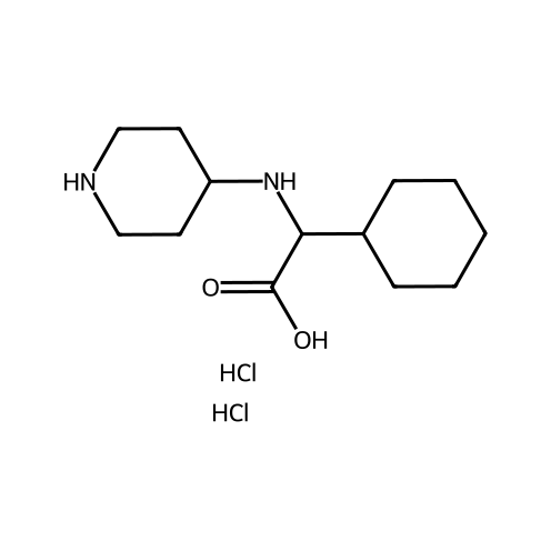 Cl.Cl.O=C(O)C(NC1CCNCC1)C1CCCCC1